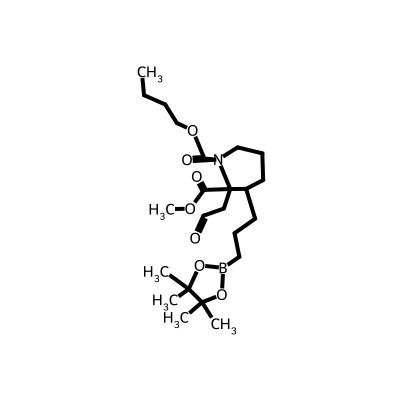 CCCCOC(=O)N1CCCC(CCCB2OC(C)(C)C(C)(C)O2)C1(CC=O)C(=O)OC